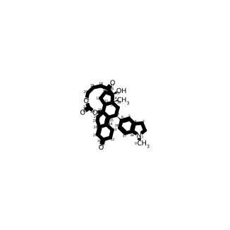 CN1CCc2cc([C@H]3C[C@@]4(C)C5CC[C@]4(O)C(=O)CCCOC(=O)OC54CCC5=CC(=O)CCC5=C34)ccc21